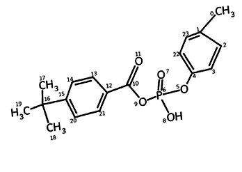 Cc1ccc(OP(=O)(O)OC(=O)c2ccc(C(C)(C)C)cc2)cc1